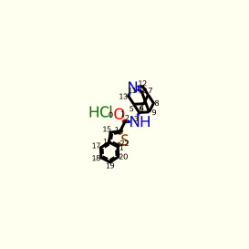 Cl.O=C(NC1C2CC3CC1CN(C3)C2)c1cc2ccccc2s1